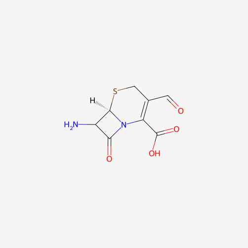 NC1C(=O)N2C(C(=O)O)=C(C=O)CS[C@H]12